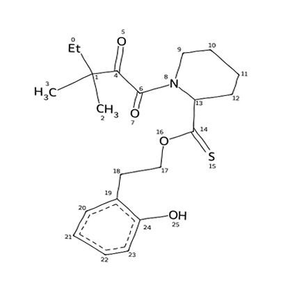 CCC(C)(C)C(=O)C(=O)N1CCCCC1C(=S)OCCc1ccccc1O